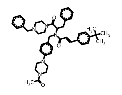 CC(=O)N1CCN(c2ccc(CN(C(=O)C=Cc3ccc(C(C)(C)C)cc3)C(Cc3ccccc3)C(=O)N3CCN(Cc4ccccc4)CC3)cc2)CC1